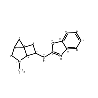 CN1CC2CC23CC(Nc2nc4ccccc4o2)C13